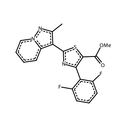 COC(=O)c1sc(-c2c(C)nn3ccccc23)nc1-c1c(F)cccc1F